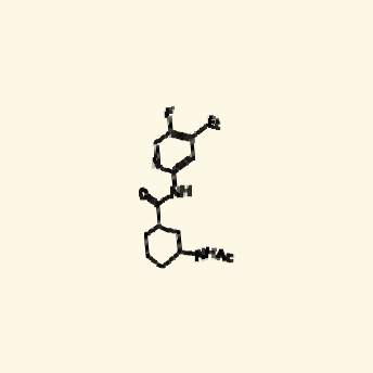 CCc1cc(NC(=O)C2CCCC(NC(C)=O)C2)ncc1F